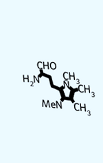 CNc1c(C)c(C)n(C)c1CCC(N)C=O